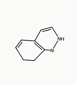 C1=CC2=C(CC1)[N]NC=C2